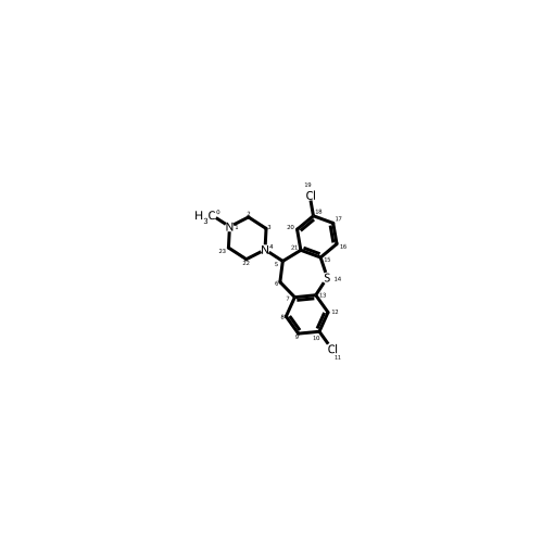 CN1CCN(C2Cc3ccc(Cl)cc3Sc3ccc(Cl)cc32)CC1